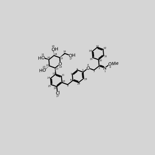 CO/N=C(/COc1ccc(Cc2cc([C@@H]3O[C@H](CO)[C@@H](O)[C@H](O)[C@H]3O)ccc2Cl)cc1)c1ccccc1